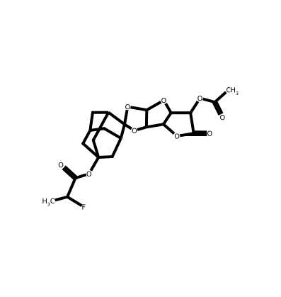 CC(=O)OC1C(=O)OC2C3OC4(OC3OC12)C1CC2CC4CC(OC(=O)C(C)F)(C2)C1